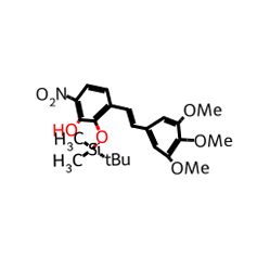 COc1cc(C=Cc2ccc([N+](=O)[O-])c(O)c2O[Si](C)(C)C(C)(C)C)cc(OC)c1OC